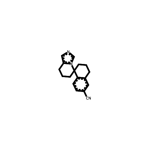 N#Cc1ccc2c(c1)CCCC21CCCc2cncn21